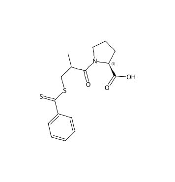 CC(CSC(=S)c1ccccc1)C(=O)N1CCC[C@H]1C(=O)O